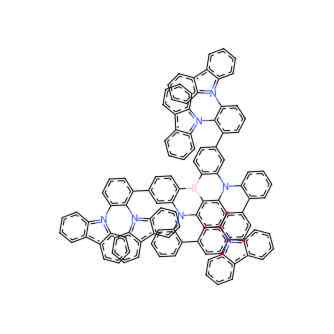 c1ccc(-c2ccccc2N2c3cc(-c4cccc(-n5c6ccccc6c6ccccc65)c4-n4c5ccccc5c5ccccc54)ccc3B3c4ccc(-c5cccc(-n6c7ccccc7c7ccccc76)c5-n5c6ccccc6c6ccccc65)cc4N(c4ccccc4-c4ccccc4)c4cc(-n5c6ccccc6c6ccccc65)cc2c43)cc1